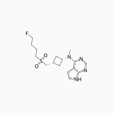 CN(c1ncnc2[nH]ccc12)[C@H]1C[C@@H](CS(=O)(=O)CCCCF)C1